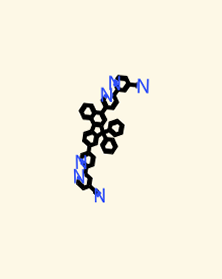 N#Cc1ccnc(-c2ccc(-c3ccc4c(c3)C(c3ccccc3)(c3ccccc3)c3cc(-c5ccc(-c6cc(C#N)ccn6)nc5)c5ccccc5c3-4)cn2)c1